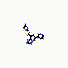 Cc1csc(NC(=O)c2cc(-c3cccnc3)cn3ncnc23)n1